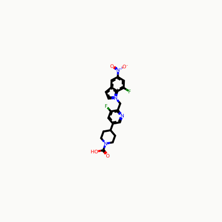 O=C(O)N1CCC(c2cnc(Cn3ccc4cc([N+](=O)[O-])cc(F)c43)c(F)c2)CC1